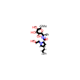 CS[C@H]1O[C@H]([C@H](NC(=O)[C@@H]2C[C@@H](CCC(C)C)CN2CCO)C(C)C)[C@H](O)[C@H](O)[C@H]1O